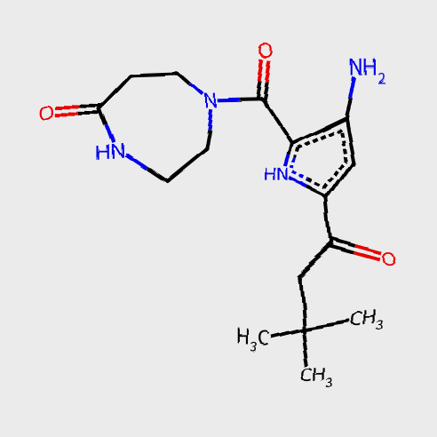 CC(C)(C)CC(=O)c1cc(N)c(C(=O)N2CCNC(=O)CC2)[nH]1